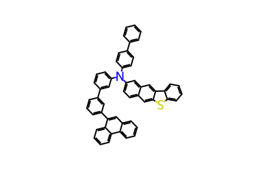 c1ccc(-c2ccc(N(c3cccc(-c4cccc(-c5cc6ccccc6c6ccccc56)c4)c3)c3ccc4cc5sc6ccccc6c5cc4c3)cc2)cc1